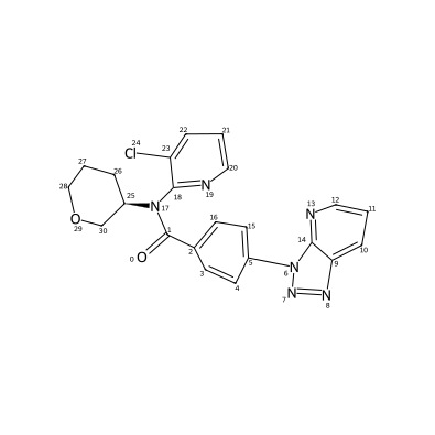 O=C(c1ccc(-n2nnc3cccnc32)cc1)N(c1ncccc1Cl)[C@@H]1CCCOC1